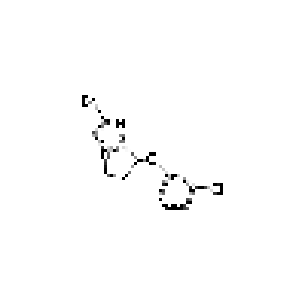 Clc1cccc(OC2CCn3nc(Br)nc32)c1